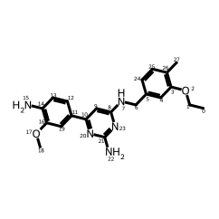 CCOc1cc(CNc2cc(-c3ccc(N)c(OC)c3)nc(N)n2)ccc1C